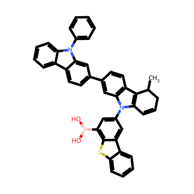 CC1CC=Cc2c1c1ccc(-c3ccc4c5ccccc5n(-c5ccccc5)c4c3)cc1n2-c1cc(B(O)O)c2sc3ccccc3c2c1